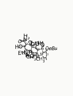 CCCCOc1cccc2c1C(=O)C1=C(O)[C@]3(O)C(=O)C(C(N)=O)=C(O)[C@@H](N(C)CC)[C@@H]3[C@@H](O)[C@@H]1[C@H]2C